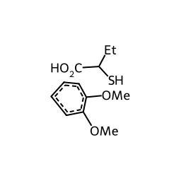 CCC(S)C(=O)O.COc1ccccc1OC